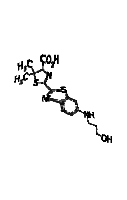 CC1(C)SC(c2nc3ccc(NCCCO)cc3s2)=NC1C(=O)O